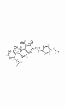 CCSc1ccc(CNc2nc3c(n(C(C)(C)C)c2=O)NC(c2c(C)ncnc2C2CC2)N=C3)nc1